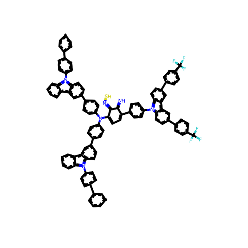 N=C1C(c2ccc(-n3c4ccc(-c5ccc(C(F)(F)F)cc5)cc4c4cc(-c5ccc(C(F)(F)F)cc5)ccc43)cc2)=CC=C(N(c2ccc(-c3ccc4c(c3)c3ccccc3n4-c3ccc(-c4ccccc4)cc3)cc2)c2ccc(-c3ccc4c(c3)c3ccccc3n4-c3ccc(-c4ccccc4)cc3)cc2)/C1=N/S